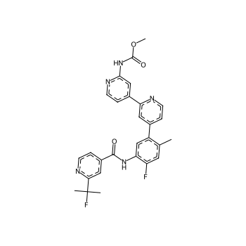 COC(=O)Nc1cc(-c2cc(-c3cc(NC(=O)c4ccnc(C(C)(C)F)c4)c(F)cc3C)ccn2)ccn1